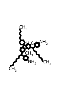 CCCCCCCCC(c1ccc(C2(c3ccc(C(CCCCCCCC)c4ccc(N)cc4C)cc3)CCC(CCCCCC)CC2)cc1)c1ccc(N)cc1C